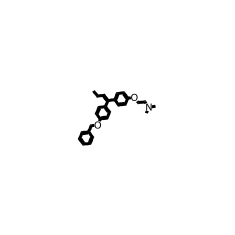 CCC=C(c1ccc(OCCN(C)C)cc1)c1ccc(OCc2ccccc2)cc1